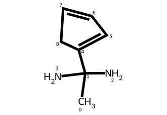 CC(N)(N)C1=CC=CC1